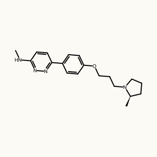 CNc1ccc(-c2ccc(OCCCN3CCC[C@H]3C)cc2)nn1